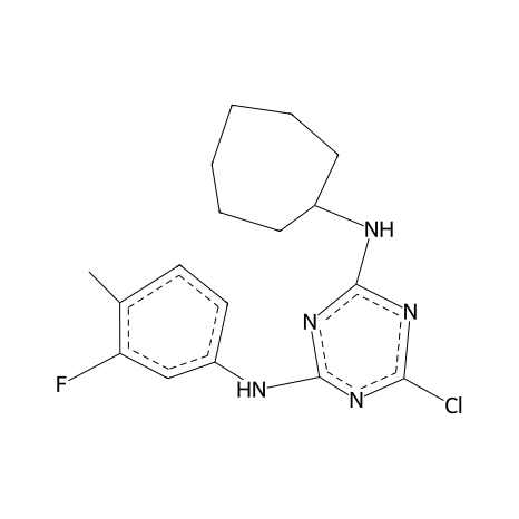 Cc1ccc(Nc2nc(Cl)nc(NC3CCCCCC3)n2)cc1F